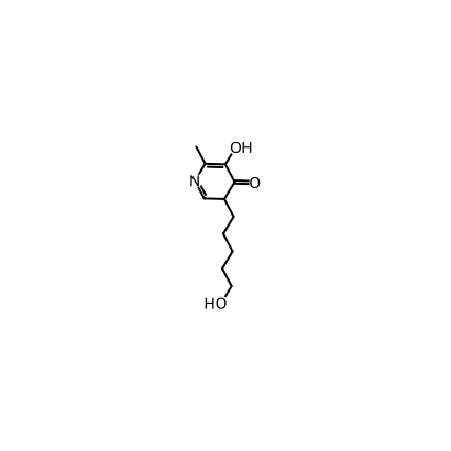 CC1=C(O)C(=O)C(CCCCCO)C=N1